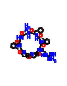 C[C@@H]1NC(=O)[C@H](CN)NC(=O)[C@@H](Cc2ccccc2)NC(=O)[C@H](Cc2ccccc2)NC(=O)[C@H](CCCNC(=N)N)NC(=O)[C@@H]2CCCN2C(=O)[C@H]2CCCN2C(=O)[C@H](Cc2ccccc2)NC1=O